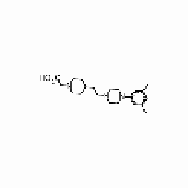 Cc1cc(C)cc(N2CCN(CCC3CCN(CC(=O)O)CC3)CC2)c1